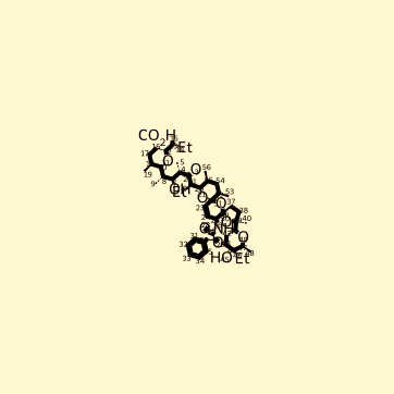 CC[C@@H](C(=O)[C@@H](C)[C@@H](O)[C@H](C)[C@@H]1O[C@@H]([C@@H](CC)C(=O)O)CC[C@@H]1C)[C@H]1O[C@]2(C=CC(NS(=O)(=O)c3ccccc3)[C@]3(CC[C@@](C)([C@H]4CC[C@](O)(CC)[C@H](C)O4)O3)O2)[C@H](C)C[C@@H]1C